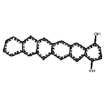 Oc1ccc(O)c2cc3cc4cc5cc6ccccc6cc5cc4cc3cc12